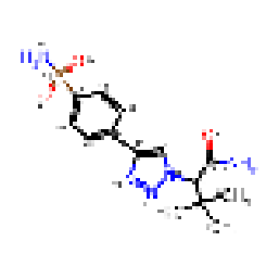 CC(C)(C)C(C(N)=O)n1cc(-c2ccc(S(N)(=O)=O)cc2)nn1